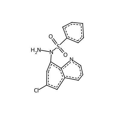 NN(c1cc(Cl)cc2cccnc12)S(=O)(=O)c1ccccc1